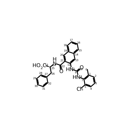 Cc1cccc(Cl)c1NC(=O)Nc1cc2ccccc2cc1C(=O)N[C@@H](Cc1ccccc1)C(=O)O